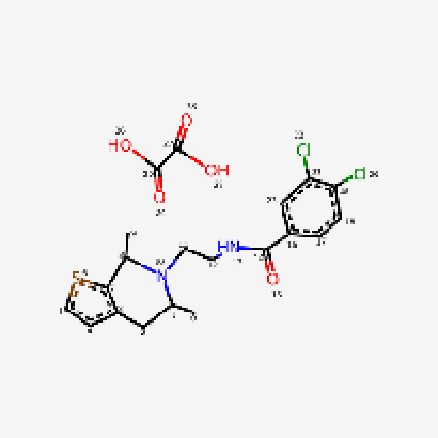 CC1Cc2ccsc2C(C)N1CCNC(=O)c1ccc(Cl)c(Cl)c1.O=C(O)C(=O)O